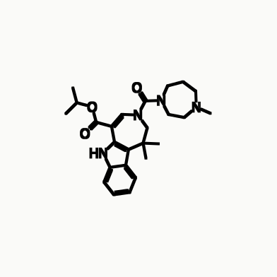 CC(C)OC(=O)C1=CN(C(=O)N2CCCN(C)CC2)CC(C)(C)c2c1[nH]c1ccccc21